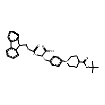 CC(C)(C)OC(=O)N1CCN(c2ccc(C[C@H](NC(=O)OCC3c4ccccc4-c4ccccc43)C(=O)O)cc2)CC1